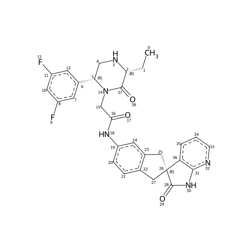 CC[C@H]1NC[C@@H](c2cc(F)cc(F)c2)N(CC(=O)Nc2ccc3c(c2)C[C@@]2(C3)C(=O)Nc3ncccc32)C1=O